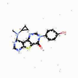 CN(c1ncnc2sc3c(=O)n(-c4ccc(O)cc4)cnc3c12)C1CC1